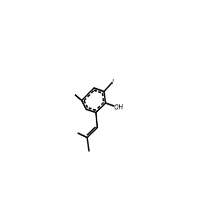 CC(C)=Cc1cc(C)cc(I)c1O